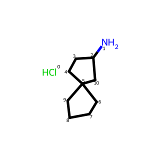 Cl.NC1CCC2(CCCC2)C1